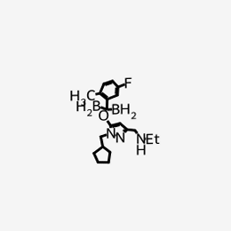 BC(B)(Oc1cc(CNCC)nn1CC1CCCC1)c1cc(F)ccc1C